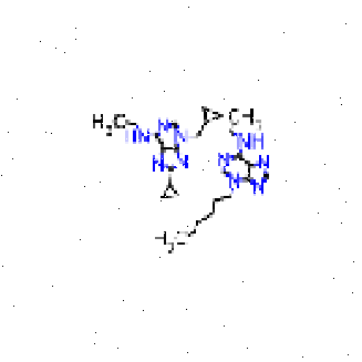 CCCCCCn1cnc(NCC)c2ncnc1-2.CCNc1ncn(CC2CC2)c2nc(C3CC3)nc1-2